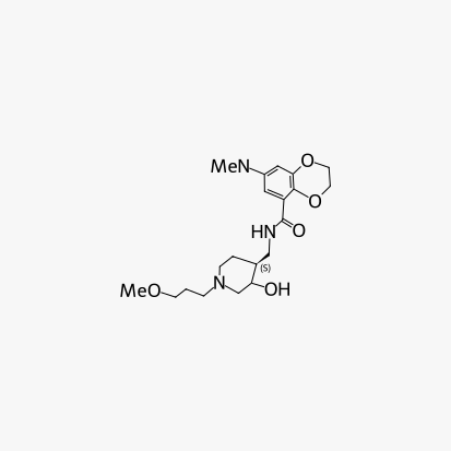 CNc1cc2c(c(C(=O)NC[C@@H]3CCN(CCCOC)CC3O)c1)OCCO2